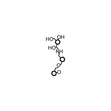 COc1ccccc1CCOCc1cccc(CCNC[C@H](O)c2ccc(O)c(CO)c2)c1